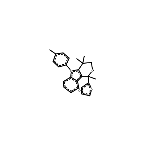 CC1(C)COC(C)(c2cccs2)c2c1n(-c1ccc(F)cc1)c1cccc(O)c21